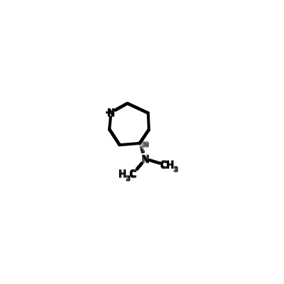 CN(C)[C@H]1CCC[N]CC1